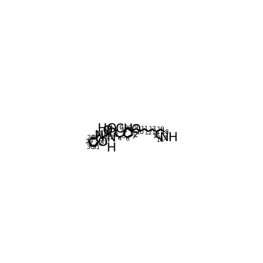 C=C(O)C(Cc1ccc(OCCCCC2CCNCC2)cc1)NC(=O)c1nc2ccccc2o1